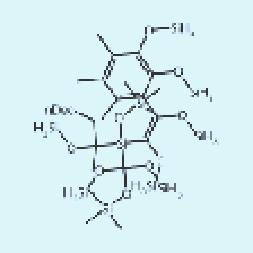 CCCCCCCCCCCC(C)(O[SiH3])[Si](O[Si](C)(C)C)(C(O[SiH3])=C(O[SiH3])c1c(C)c(C)c(C)c(O[SiH3])c1O[SiH3])C(O[SiH3])(O[SiH3])O[Si](C)(C)C